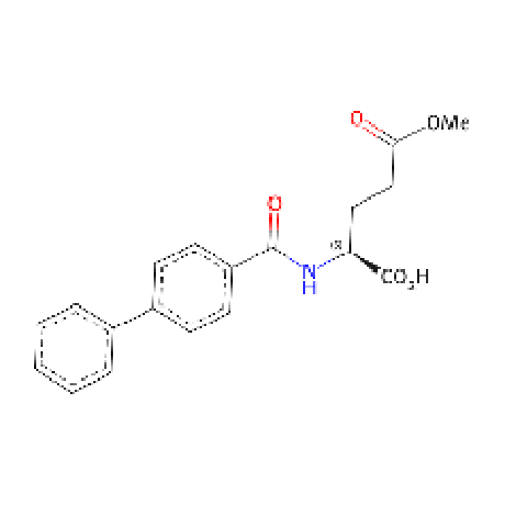 COC(=O)CC[C@H](NC(=O)c1ccc(-c2ccccc2)cc1)C(=O)O